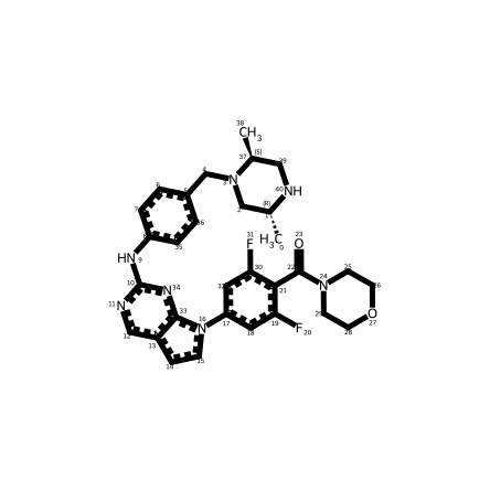 C[C@@H]1CN(Cc2ccc(Nc3ncc4ccn(-c5cc(F)c(C(=O)N6CCOCC6)c(F)c5)c4n3)cc2)[C@@H](C)CN1